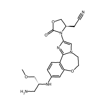 COC[C@@H](CN)Nc1ccc2c(c1)OCCn1cc(N3C(=O)OC[C@H]3CC#N)nc1-2